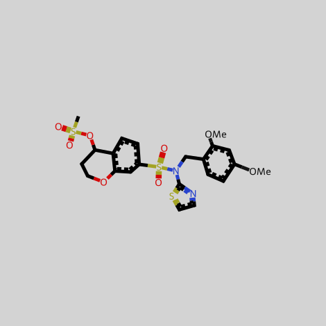 COc1ccc(CN(c2nccs2)S(=O)(=O)c2ccc3c(c2)OCCC3OS(C)(=O)=O)c(OC)c1